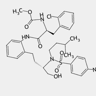 COC(=O)N[C@@H](Cc1ccccc1Cl)C(=O)Nc1ccccc1CC[C@@H](CO)N(CCC(C)C)S(=O)(=O)c1ccc(N)cc1